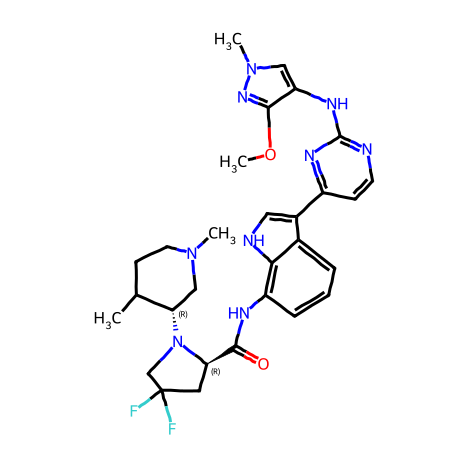 COc1nn(C)cc1Nc1nccc(-c2c[nH]c3c(NC(=O)[C@H]4CC(F)(F)CN4[C@H]4CN(C)CCC4C)cccc23)n1